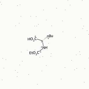 CCCC[C@H](NC(=O)OCC)C(=O)O